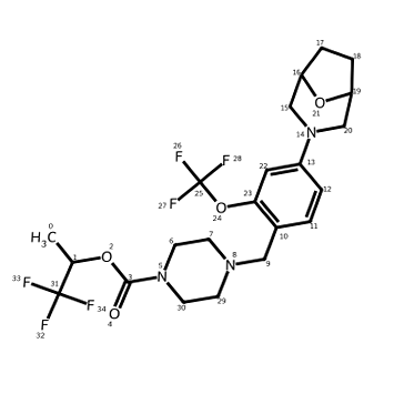 CC(OC(=O)N1CCN(Cc2ccc(N3CC4CCC(C3)O4)cc2OC(F)(F)F)CC1)C(F)(F)F